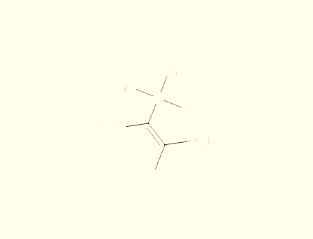 C/C(C(=O)O)=C(\C(=O)O)[Si](C(C)C)(C(C)C)C(C)C